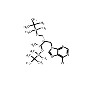 C[C@@H](O[Si](C)(C)C(C)(C)C)[C@H](CO[Si](C)(C)C(C)(C)C)Cn1cnc2c(Cl)ncnc21